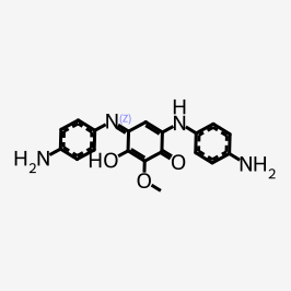 COC1=C(O)/C(=N\c2ccc(N)cc2)C=C(Nc2ccc(N)cc2)C1=O